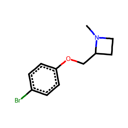 CN1CCC1COc1ccc(Br)cc1